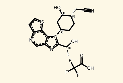 C[C@@H](O)c1nc2cnc3ccsc3c2n1[C@@H]1CC[C@@H](CC#N)[C@H](O)C1.O=C(O)C(F)(F)F